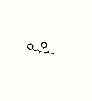 C[C@@H](C(=O)NCC(=O)O)N(c1ccccc1)C(CCc1ccccc1)C(=O)O